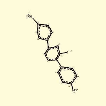 CCCCc1ccc(-c2ccc(-c3ccc(CCC)cc3)c(F)c2)cc1